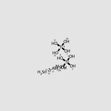 [AlH3].[MgH2].[OH][Ti]([OH])([OH])[OH].[OH][Ti]([OH])([OH])[OH].[SnH2].[Zr]